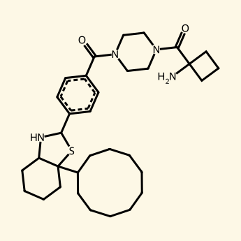 NC1(C(=O)N2CCN(C(=O)c3ccc(C4NC5CCCCC5(C5CCCCCCCCC5)S4)cc3)CC2)CCC1